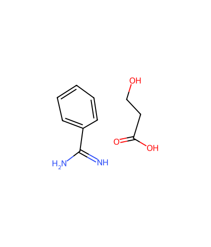 N=C(N)c1ccccc1.O=C(O)CCO